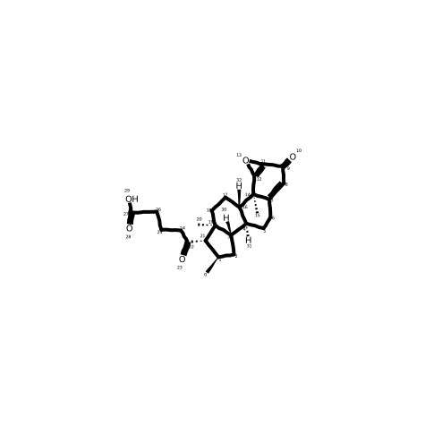 C[C@@H]1C[C@H]2[C@@H]3CCC4=CC(=O)C5=C(O5)[C@]4(C)[C@H]3CC[C@]2(C)[C@H]1C(=O)CCCC(=O)O